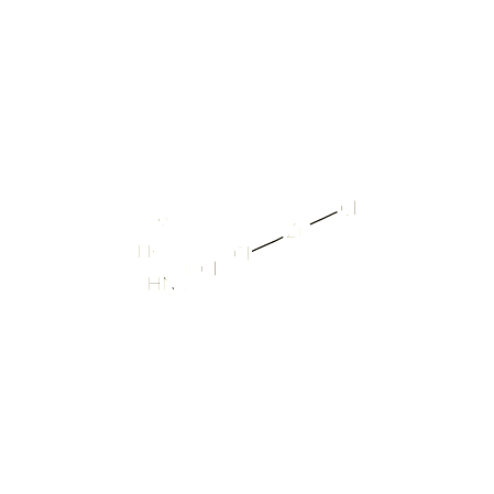 Cl.Cl.[Cl][Zn][Cl].[Fe].[NaH]